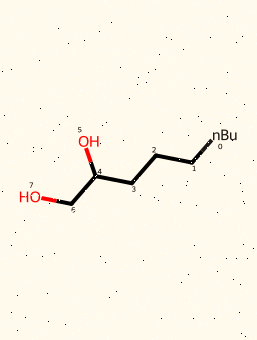 [CH2]CCCCCCC(O)CO